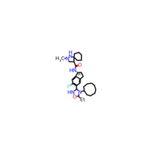 CCC1ONC(c2cc3c(cc2F)[C@H](NC(=O)C2CN(C)NC24CCCCC4)CC3)N1C1CCCCCCCC1